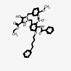 CCOC(=O)C1=C(O)N(Cc2ccc(OC)cc2)N(Cc2ccc(OCCCCc3ccccc3)c(NC(=O)c3ccccc3)c2[N+](=O)[O-])N1